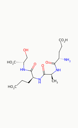 C[C@H](NC(=O)[C@@H](N)CCC(=O)O)C(=O)N[C@@H](CCC(=O)O)C(=O)N[C@@H](CO)C(=O)O